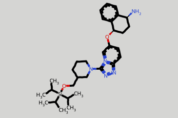 CC(C)[Si](OCC1CCCN(c2nnc3ccc(O[C@@H]4CC[C@H](N)c5ccccc54)cn23)C1)(C(C)C)C(C)C